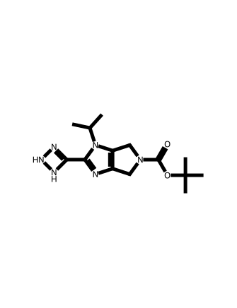 CC(C)n1c(-c2n[nH][nH]2)nc2c1CN(C(=O)OC(C)(C)C)C2